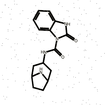 O=C(NC1CC2CCC(C1)N2)n1c(=O)[nH]c2ccccc21